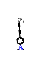 CN(C)c1ccc(C#CC#CC(F)(F)F)cc1